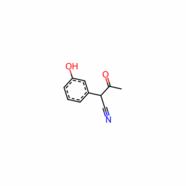 CC(=O)C(C#N)c1cccc(O)c1